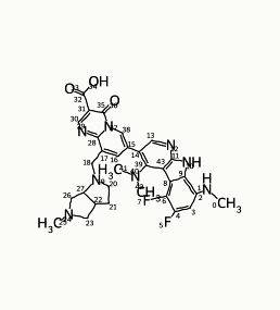 CNc1cc(F)c(F)c2c1[nH]c1ncc(-c3cc(CN4CCC5CN(C)CC54)c4ncc(C(=O)O)c(=O)n4c3)c(N(C)C)c12